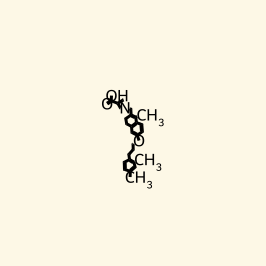 CC1=C(CN2CC(C(=O)O)C2)CCc2cc(OCCCc3ccc(C)cc3C)ccc21